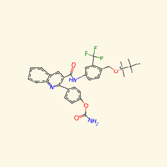 CC(C)(C)[Si](C)(C)OCc1ccc(NC(=O)c2cc3ccccc3nc2-c2ccc(OC(N)=O)cc2)cc1C(F)(F)F